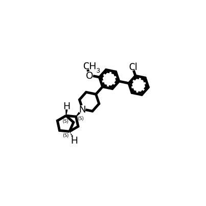 COc1ccc(-c2ccccc2Cl)cc1C1CCN([C@H]2C[C@H]3CC[C@H]2C3)CC1